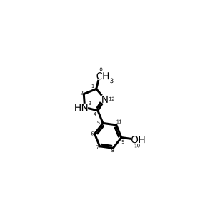 CC1CNC(c2cccc(O)c2)=N1